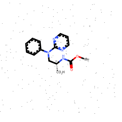 CC(C)(C)OC(=O)N[C@@H](CN(c1ccccc1)c1ncccn1)C(=O)O